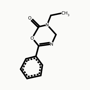 CCN1CN=C(c2ccccc2)OC1=O